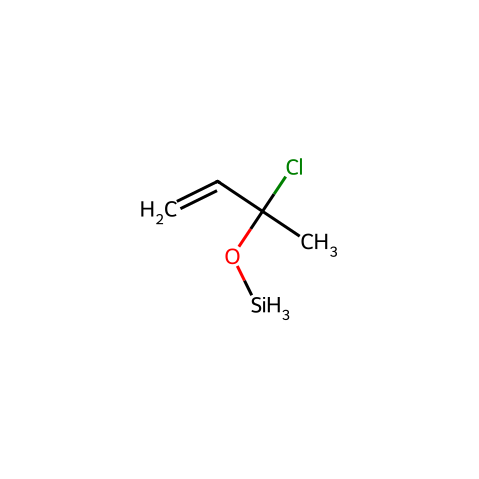 C=CC(C)(Cl)O[SiH3]